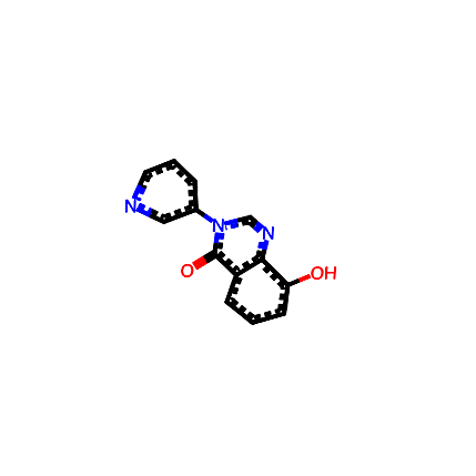 O=c1c2cccc(O)c2ncn1-c1cccnc1